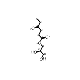 CCC(=O)CCC(=O)OCC(O)CO